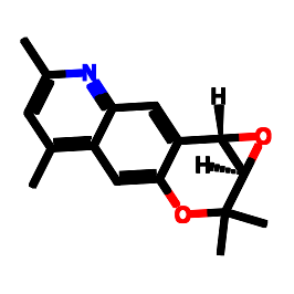 Cc1cc(C)c2cc3c(cc2n1)[C@@H]1O[C@H]1C(C)(C)O3